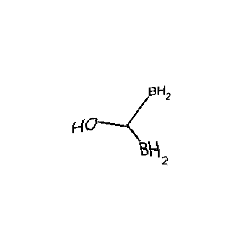 BC(B)O